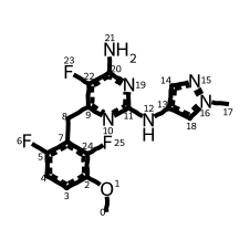 COc1ccc(F)c(Cc2nc(Nc3cnn(C)c3)nc(N)c2F)c1F